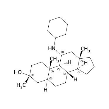 C[C@@]1(O)CC[C@@]2(C)[C@@H](CC[C@@H]3[C@@H]2[C@H](NC2CCCCC2)C[C@]2(C)CCC[C@@H]32)C1